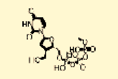 COP(=O)(O)OP(=O)(O)OP(=O)(O)OC[C@H]1O[C@@H](n2ccc(=O)[nH]c2=O)C[C@@H]1CO